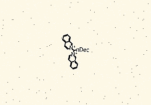 CCCCCCCCCCC([n+]1ccc2ccccc2c1)[n+]1ccc2ccccc2c1